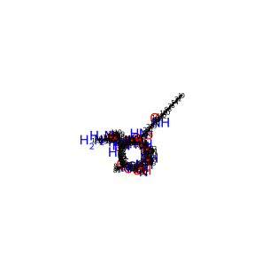 CCCCCCCCCCCCCCCC(=O)NCCCCCC(=O)NCCCC[C@@]12NC(=O)[C@@H]3CCCN3C(=O)[C@H](C(c3ccccc3)c3ccccc3)NC(=O)[C@H](Cc3cnc[nH]3)NC(=O)[C@H]([C@@H](C)O)CC(=O)[C@@H](NC(=O)CC(C)C)CCCCCC[C@@H](C(=O)N[C@H](CC(=O)N[C@H](CCCCN)C(N)=O)Cc3ccccc3)NC(=O)[C@@H](NC1=O)[C@@H]2CC